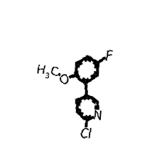 COc1ccc(F)cc1-c1ccc(Cl)nc1